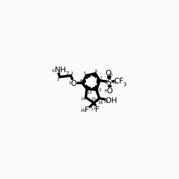 NCCOc1ccc(S(=O)(=O)C(F)(F)F)c2c1CC(F)(F)C2O